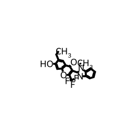 CCc1cc2c(=O)c(-c3nc4ccccc4n3C)c(C(F)(F)F)oc2cc1O